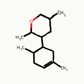 CC1=CCC(C)C(C2CC(C)COC2C)C1